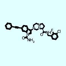 NC(=O)n1cc(N2CCN3CC[C@@H](C(=O)NCc4cccc(Cl)c4F)N3C2)c2ccc(C#Cc3ccccc3)cc21